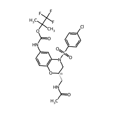 CC(=O)NC[C@H]1CN(S(=O)(=O)c2ccc(Cl)cc2)c2cc(NC(=O)OC(C)(C)C(F)(F)F)ccc2O1